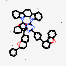 C1=CC(c2nc(-c3ccc(-c4cccc5oc6ccccc6c45)cc3)nc(N3c4ccccc4C4C=Cc5c(n(-c6ccc(-c7ccc8c(c7)OC(c7ccccc7)=CC8)cc6)c6ccccc56)C43)n2)=CCC1